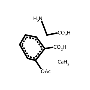 CC(=O)Oc1ccccc1C(=O)O.NCC(=O)O.[CaH2]